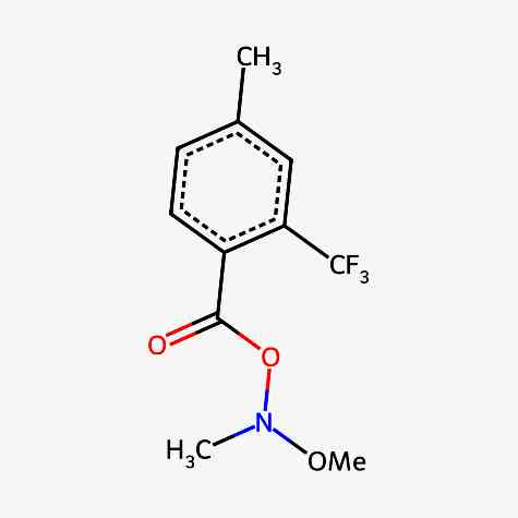 CON(C)OC(=O)c1ccc(C)cc1C(F)(F)F